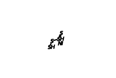 S=[SH]SS.[Ni]